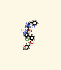 Cc1ccc(OCCC2CCOCC2)cc1-c1cc(NC(=O)c2nnc(CC3CCCCC3)[nH]2)ncc1Cl